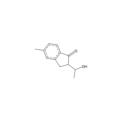 Cc1ccc2c(c1)CC(C(C)O)C2=O